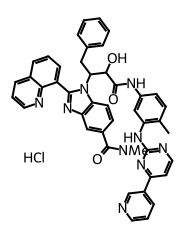 CNC(=O)c1ccc2c(c1)nc(-c1cccc3cccnc13)n2C(Cc1ccccc1)C(O)C(=O)Nc1ccc(C)c(Nc2nccc(-c3cccnc3)n2)c1.Cl